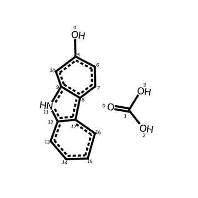 O=C(O)O.Oc1ccc2c(c1)[nH]c1ccccc12